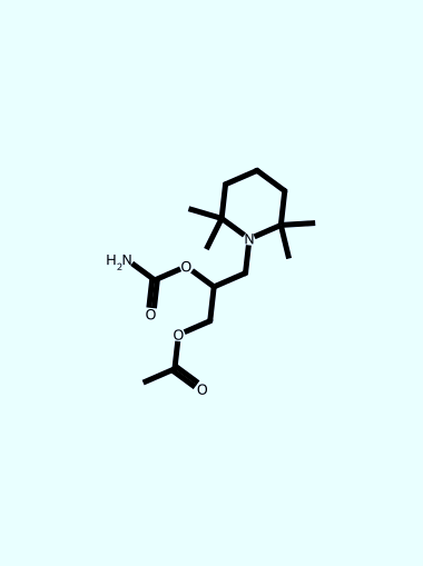 CC(=O)OCC(CN1C(C)(C)CCCC1(C)C)OC(N)=O